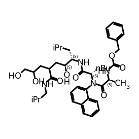 CCCC[C@@H](C(=O)N[C@@H](CC(C)C)[C@@H](O)CC(CC(O)CO)C(=O)NCC(C)C)N(C(=O)[C@H](C)NC(=O)OCc1ccccc1)c1cccc2ccccc12